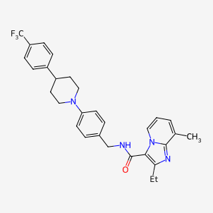 CCc1nc2c(C)cccn2c1C(=O)NCc1ccc(N2CCC(c3ccc(C(F)(F)F)cc3)CC2)cc1